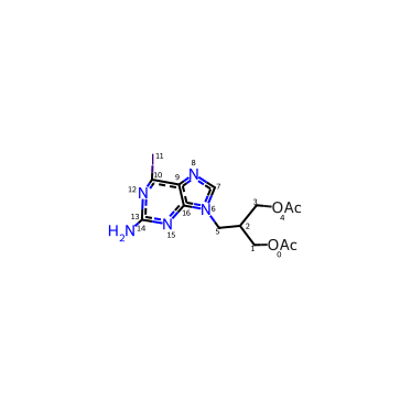 CC(=O)OCC(COC(C)=O)Cn1cnc2c(I)nc(N)nc21